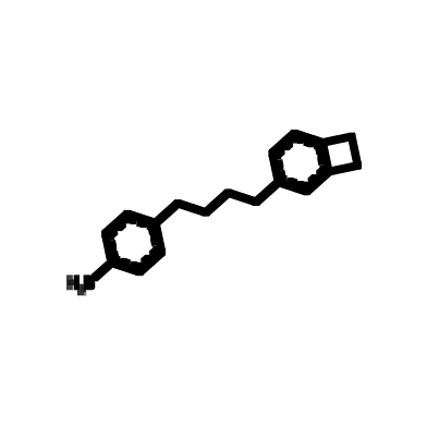 Bc1ccc(CCCCc2ccc3c(c2)CC3)cc1